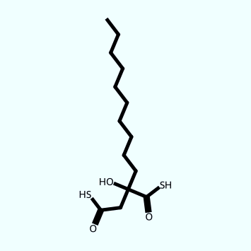 CCCCCCCCCCC(O)(CC(=O)S)C(=O)S